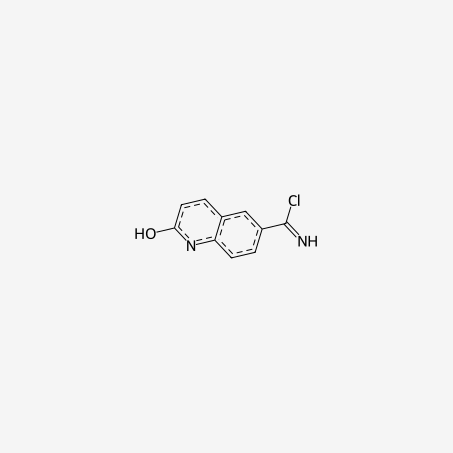 N=C(Cl)c1ccc2nc(O)ccc2c1